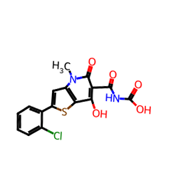 Cn1c(=O)c(C(=O)NC(=O)O)c(O)c2sc(-c3ccccc3Cl)cc21